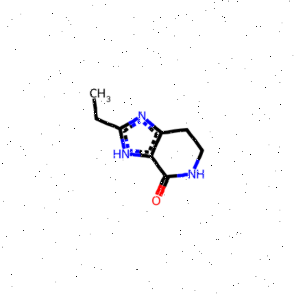 CCc1nc2c([nH]1)C(=O)NCC2